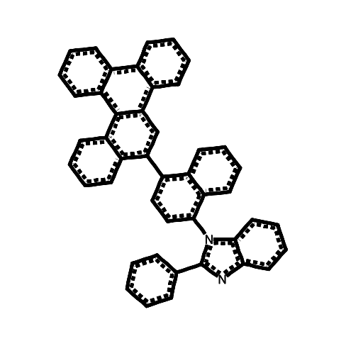 c1ccc(-c2nc3ccccc3n2-c2ccc(-c3cc4c5ccccc5c5ccccc5c4c4ccccc34)c3ccccc23)cc1